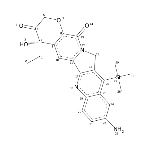 CC[C@@]1(O)C(=O)COc2c1cc1n(c2=O)Cc2c-1nc1ccc(N)cc1c2[Si](C)(C)C